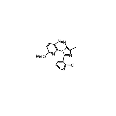 COc1ccc2nnc3c(C)nc(-c4ccccc4Cl)n3c2n1